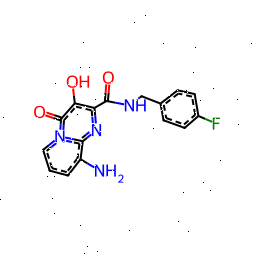 Nc1cccn2c(=O)c(O)c(C(=O)NCc3ccc(F)cc3)nc12